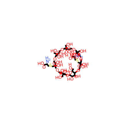 N[C@H](CSCC1OC2OC3C(CO)OC(OC4C(CO)OC(OC5C(CSC[C@@H](N)C(=O)O)OC(OC6C(CO)OC(OC7C(CO)OC(OC8C(CO)OC(OC1C(O)C2O)C(O)C8O)C(O)C7O)C(O)C6O)C(O)C5O)C(O)C4O)C(O)C3O)C(=O)O